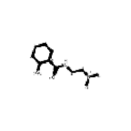 CC(=O)C1CCCCC1C(=O)NCCN(C)C